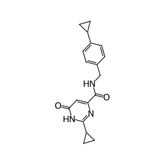 O=C(NCc1ccc(C2CC2)cc1)c1cc(=O)[nH]c(C2CC2)n1